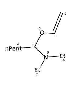 C=COC(CCCCC)N(CC)CC